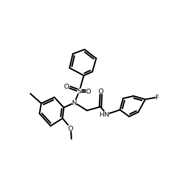 COc1ccc(C)cc1N(CC(=O)Nc1ccc(F)cc1)S(=O)(=O)c1ccccc1